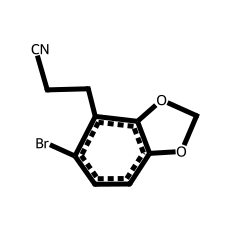 N#CCCc1c(Br)ccc2c1OCO2